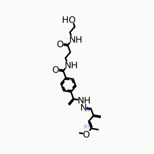 C=C(/C=N/NC(=C)c1ccc(C(=O)NCCC(=O)NCCO)cc1)/C=C(\C)OC